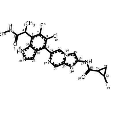 CCNC(=O)C(C)c1c(F)c(Cl)c(-c2cn3cc(NC(=O)C4CC4F)nc3cn2)c2cn[nH]c12